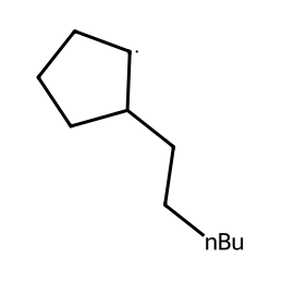 CCCCCCC1[CH]CCC1